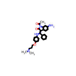 CC(=O)N1C(=O)/C(=C(\Nc2ccc(OCCCN(C)C)cc2)c2ccccc2)c2ccc(N)cc21